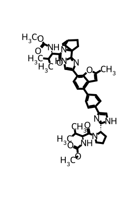 COC(=O)N[C@H](C(=O)N1CCC[C@H]1c1nc(-c2ccc(-c3ccc(-c4c[nH]c(C56CCC(CN5C(=O)[C@@H](NC(=O)OC)C(C)C)C6)n4)c4oc(C)cc34)cc2)c[nH]1)C(C)C